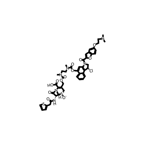 CN(C)CCOc1ccc2oc(C(=O)N3C[C@@H](Cl)c4c3cc(OC(=O)N(C)CCN(C)C(=O)OCC3=C(C(=O)O)N5C(=O)[C@@H](NC(=O)Cc6cccs6)[C@H]5[S+]([O-])C3)c3ccccc43)cc2c1